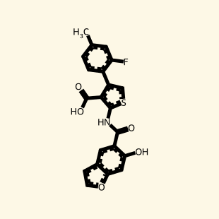 Cc1ccc(-c2csc(NC(=O)c3cc4ccoc4cc3O)c2C(=O)O)c(F)c1